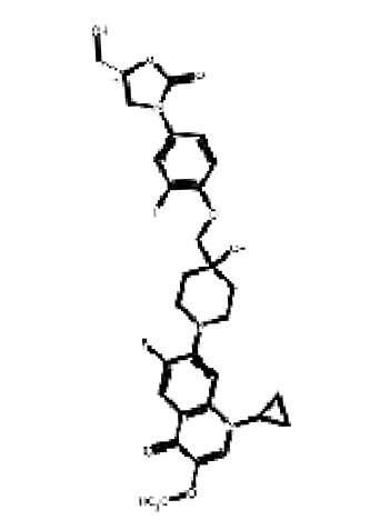 O=C(O)Oc1cn(C2CC2)c2cc(N3CCC(O)(COc4ccc(N5C[C@H](CO)OC5=O)cc4F)CC3)c(F)cc2c1=O